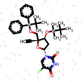 C#C[C@]1(CO[Si](c2ccccc2)(c2ccccc2)C(C)(C)C)O[C@@H](n2cc(F)c(=O)[nH]c2=O)C[C@@H]1O[Si](C)(C)C(C)(C)C